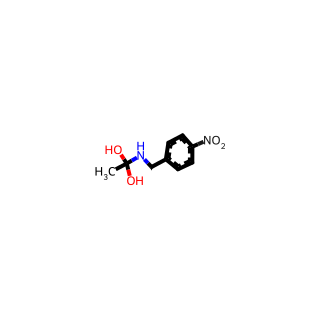 CC(O)(O)N[CH]c1ccc([N+](=O)[O-])cc1